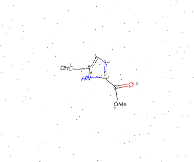 COC(=O)c1ncc(C=O)[nH]1